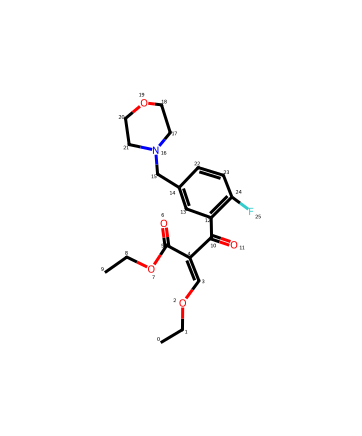 CCOC=C(C(=O)OCC)C(=O)c1cc(CN2CCOCC2)ccc1F